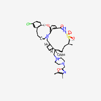 COC1(CN2CCN(Cc3nc(C)c(C)o3)CC2)/C=C/C[C@H](C)[C@@H](C)S(=O)(=O)NC(=O)c2ccc3c(c2)N(CCCCc2cc(Cl)ccc2CO3)C[C@@H]2CC[C@H]21